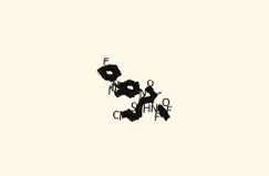 C[C@H]1C(=O)N(c2ccc3c(cnn3-c3ccc(F)cc3)c2)C(c2ccc(Cl)s2)[C@H]1NC(=O)C(C)(F)F